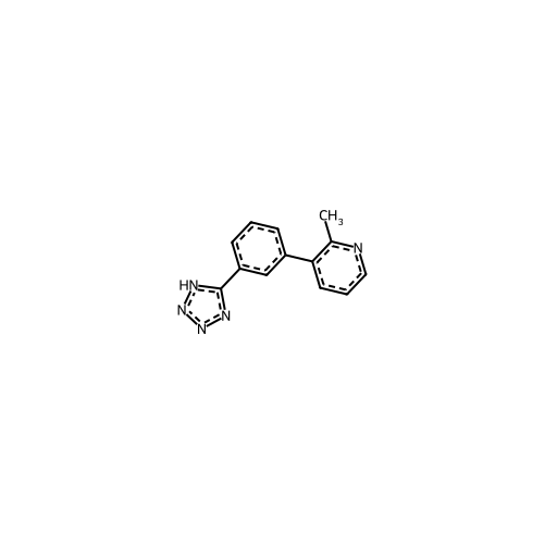 Cc1ncccc1-c1cccc(-c2nnn[nH]2)c1